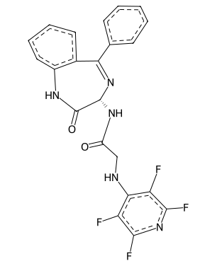 O=C(CNc1c(F)c(F)nc(F)c1F)N[C@H]1N=C(c2ccccc2)c2ccccc2NC1=O